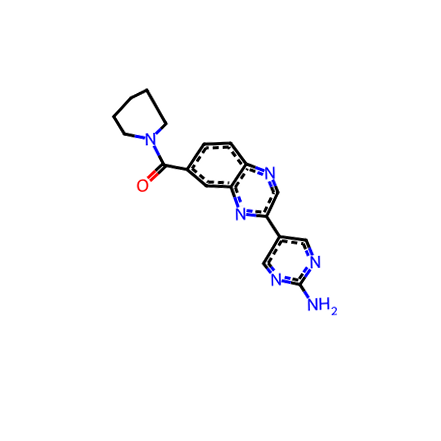 Nc1ncc(-c2cnc3ccc(C(=O)N4CCCCC4)cc3n2)cn1